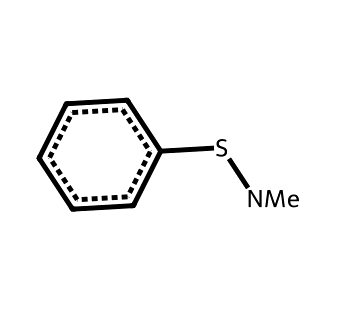 CNSc1ccccc1